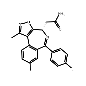 Cc1noc2c1-c1ccc(F)cc1C(c1ccc(Cl)cc1)=N[C@H]2CC(N)=O